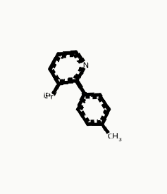 Cc1ccc(-c2ncccc2C(C)C)cc1